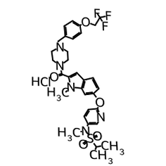 CC(C)S(=O)(=O)N(C)c1ccc(Oc2ccc3cc(C(=O)N4CCN(Cc5ccc(OCC(F)(F)F)cc5)CC4)n(C)c3c2)nc1.Cl